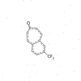 O=c1ccc2ccc(C(F)(F)F)cc2cc1